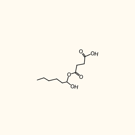 CCCCCC(O)OC(=O)CCC(=O)O